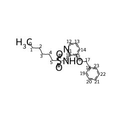 CCCCCCS(=O)(=O)Nc1ncccc1OCc1ccccc1